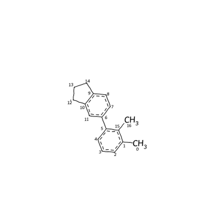 Cc1cccc(-c2ccc3c(c2)[CH]CC3)c1C